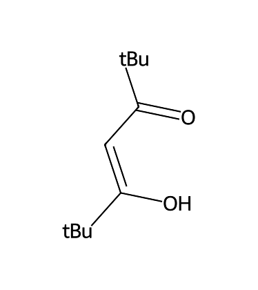 CC(C)(C)C(=O)C=C(O)C(C)(C)C